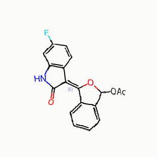 CC(=O)OC1O/C(=C2/C(=O)Nc3cc(F)ccc32)c2ccccc21